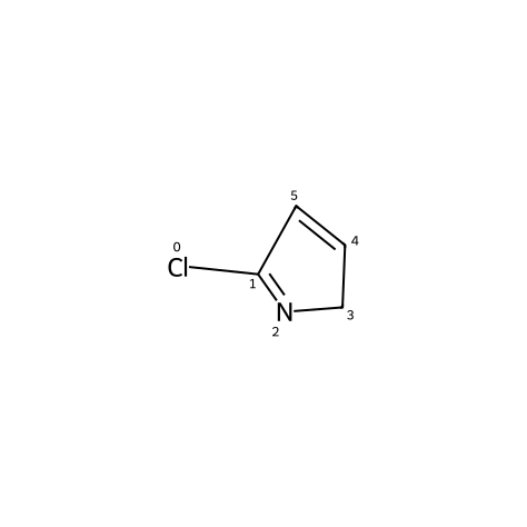 ClC1=NCC=C1